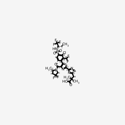 CC[C@H](NS(=O)(=O)c1ccc(-c2sc(-c3noc(CC(C)(C)C(=O)O)n3)nc2C(=O)N2CC(F)(F)C[C@@H]2C)c(C(F)F)c1Cl)C(F)(F)F